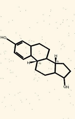 OC1=CC2CCC3[C@H](CCC4C(O)CC[C@H]43)C2C=C1